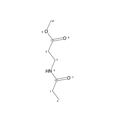 CCC(=O)NCCC(=O)OC